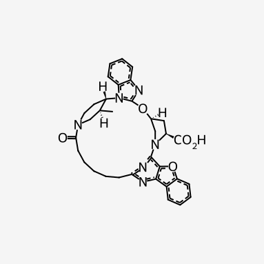 C[C@H]1CN2CC[C@@H]1n1c(nc3ccccc31)O[C@H]1C[C@@H](C(=O)O)N(C1)c1nc(nc3c1oc1ccccc13)CCCCCC2=O